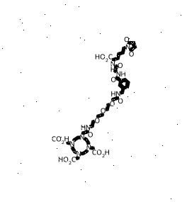 O=C(O)CN1CCN(CC(=O)O)CCN(CC(=O)NCCOCCOCCOCC(=O)NCc2cccc(C(=O)NCC(=O)N[C@@H](CCCCN3C(=O)C=CC3=O)C(=O)O)c2)CCN(CC(=O)O)CC1